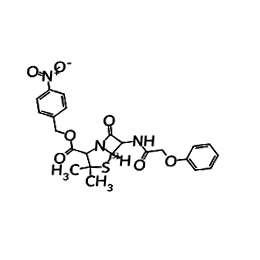 CC1(C)S[C@H]2C(NC(=O)COc3ccccc3)C(=O)N2C1C(=O)OCc1ccc([N+](=O)[O-])cc1